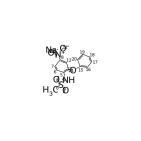 CS(=O)(=O)Nc1ccc([N+](=O)[O-])cc1Oc1ccccc1.[Na]